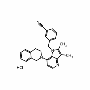 Cc1c(C)n(Cc2cccc(C#N)c2)c2c(N3CCc4ccccc4C3)ccnc12.Cl